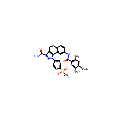 COc1cc(C(=O)Nc2ccc3c(c2)-c2c(c(C(N)=O)nn2-c2ccc(S(C)(=O)=O)cc2)CC3)c([N+](=O)[O-])cc1OC